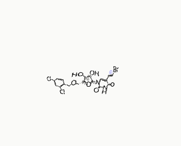 O=c1[nH]c(=O)n([C@@H]2O[C@H](COCc3ccc(Cl)cc3Cl)[C@@H](O)[C@@H]2O)cc1/C=C/Br